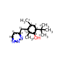 Cc1cc(C(C)(C)C)c(O)c(C)c1Cc1ccnnn1